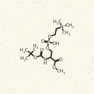 COC(=O)C(COP(=O)(O)OCC[N+](C)(C)C)NC(=O)OC(C)(C)C